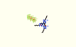 CCCCCC[n+]1ccc(-c2cc[n+](CCCCCC)cc2-c2cc[n+](CCCCCC)cc2)cc1.F[B-](F)(F)F.F[B-](F)(F)F.F[B-](F)(F)F